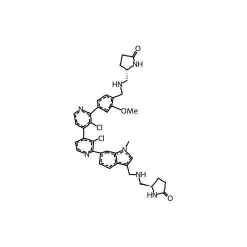 COc1cc(-c2nccc(-c3ccnc(-c4ccc5c(CNC[C@H]6CCC(=O)N6)cn(C)c5c4)c3Cl)c2Cl)ccc1CNC[C@@H]1CCC(=O)N1